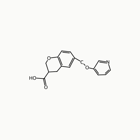 O=C(O)C1COc2ccc(COc3cccnc3)cc2C1